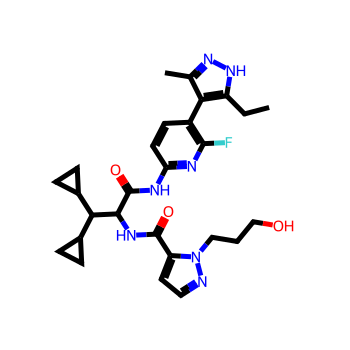 CCc1[nH]nc(C)c1-c1ccc(NC(=O)C(NC(=O)c2ccnn2CCCO)C(C2CC2)C2CC2)nc1F